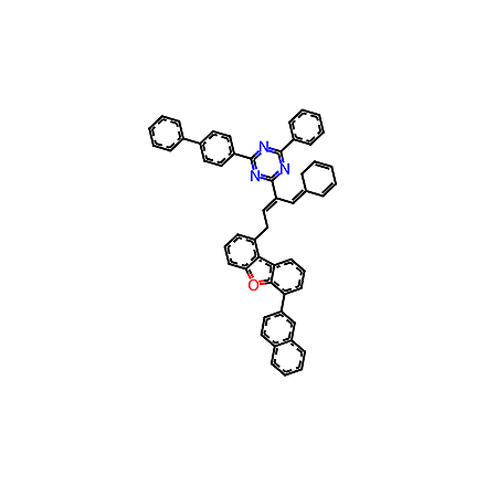 C1=CC/C(=C\C(=C/Cc2cccc3oc4c(-c5ccc6ccccc6c5)cccc4c23)c2nc(-c3ccccc3)nc(-c3ccc(-c4ccccc4)cc3)n2)C=C1